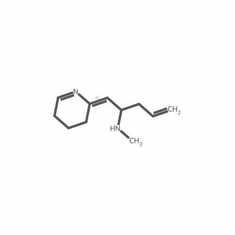 C=CCC(/C=C1\CCCC=N1)NC